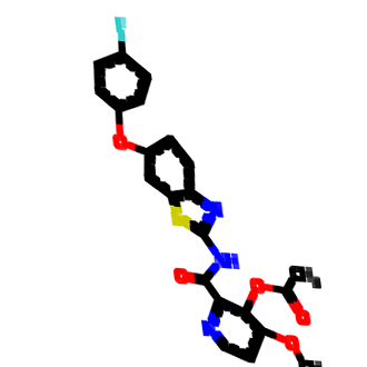 COc1ccnc(C(=O)Nc2nc3ccc(Oc4ccc(F)cc4)cc3s2)c1OC(C)=O